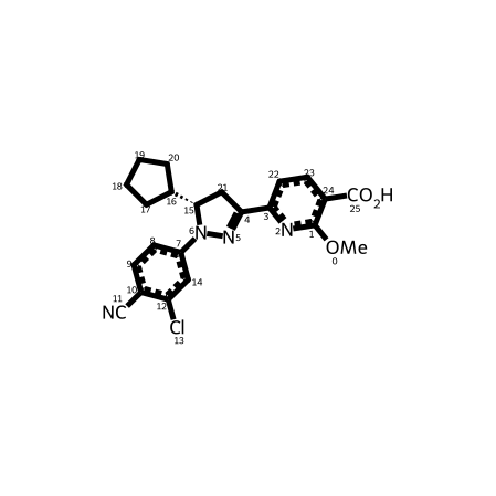 COc1nc(C2=NN(c3ccc(C#N)c(Cl)c3)[C@H](C3CCCC3)C2)ccc1C(=O)O